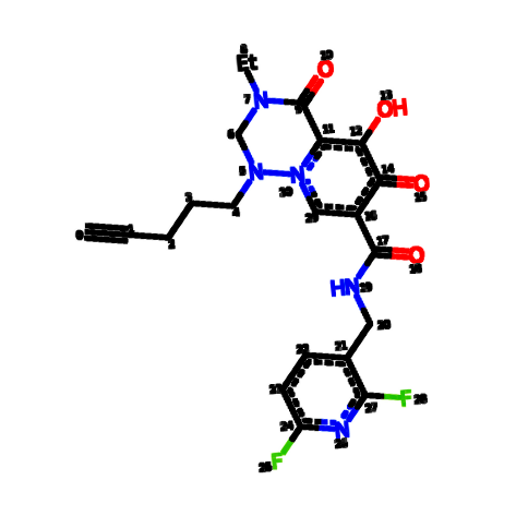 C#CCCCN1CN(CC)C(=O)c2c(O)c(=O)c(C(=O)NCc3ccc(F)nc3F)cn21